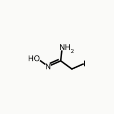 N/C(CI)=N\O